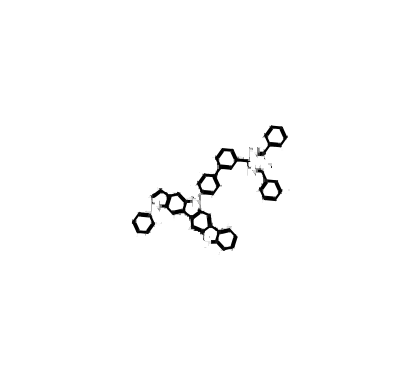 c1ccc(-c2nc(-c3ccccc3)nc(-c3cccc(-c4ccc(-n5c6cc7ccn(-c8ccccc8)c7cc6c6cc7sc8ccccc8c7cc65)cc4)c3)n2)cc1